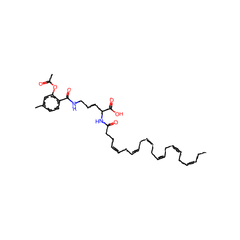 CC/C=C\C/C=C\C/C=C\C/C=C\C/C=C\C/C=C\CCC(=O)NC(CCCNC(=O)c1ccc(C)cc1OC(C)=O)C(=O)O